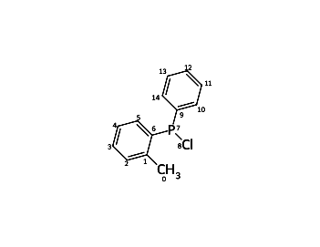 Cc1ccccc1P(Cl)c1ccccc1